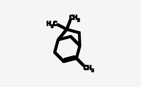 CC1=CCC2CC1CC2(C)C